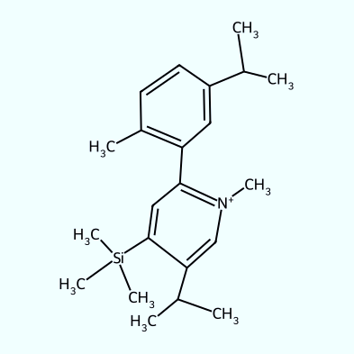 Cc1ccc(C(C)C)cc1-c1cc([Si](C)(C)C)c(C(C)C)c[n+]1C